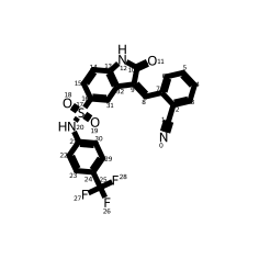 N#Cc1ccccc1C=C1C(=O)Nc2ccc(S(=O)(=O)Nc3ccc(C(F)(F)F)cc3)cc21